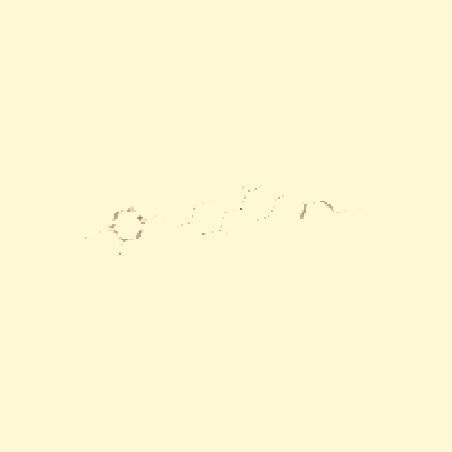 CC=CC(=O)OC1CCC(C2CCC(CCc3ccc(F)c(F)c3)CC2)CC1